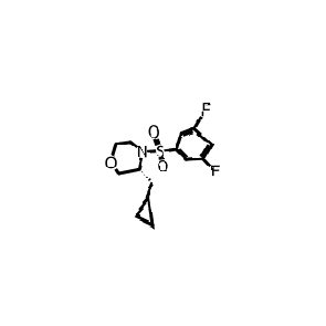 O=S(=O)(c1cc(F)cc(F)c1)N1CCOC[C@H]1CC1CC1